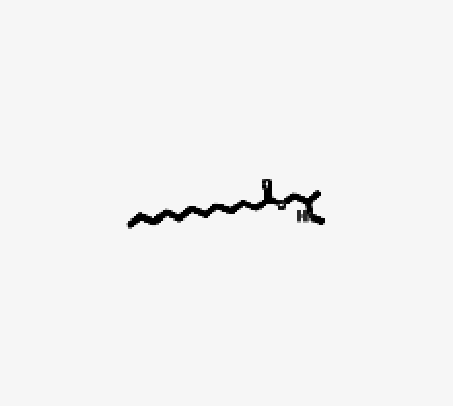 CCCCCCCCCCCC(=O)OCC(C)NC